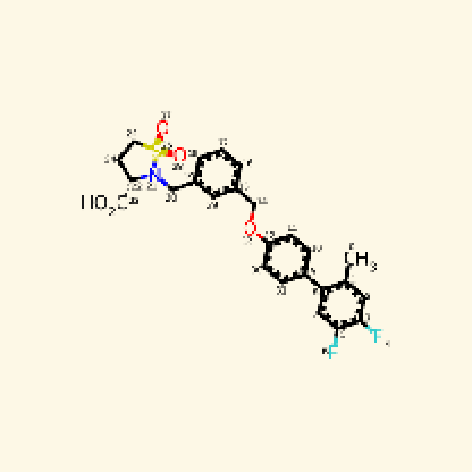 Cc1cc(F)c(F)cc1-c1ccc(OCc2cccc(CN3[C@H](C(=O)O)CCS3(=O)=O)c2)cc1